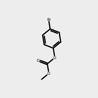 [CH2]OC(=O)Oc1ccc(Br)cc1